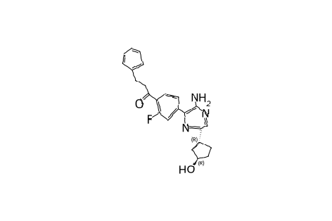 Nc1ncc([C@@H]2CC[C@@H](O)C2)nc1-c1ccc(C(=O)CCc2ccccc2)c(F)c1